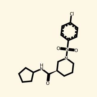 O=C(NC1CCCC1)[C@@H]1CCCN(S(=O)(=O)c2ccc(Cl)cc2)C1